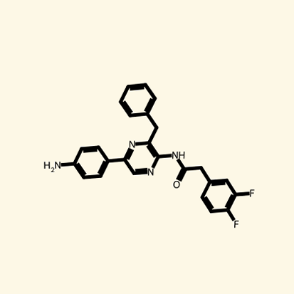 Nc1ccc(-c2cnc(NC(=O)Cc3ccc(F)c(F)c3)c(Cc3ccccc3)n2)cc1